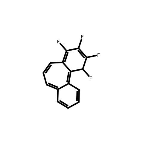 FC1=C2C=CC=c3ccccc3=C2C(F)C(F)=C1F